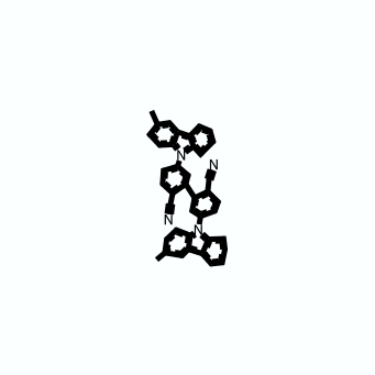 Cc1ccc2c(c1)c1ccccc1n2-c1ccc(C#N)c(-c2cc(-n3c4ccccc4c4cc(C)ccc43)ccc2C#N)c1